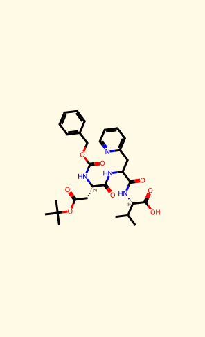 CC(C)[C@H](NC(=O)C(Cc1ccccn1)NC(=O)[C@H](CC(=O)OC(C)(C)C)NC(=O)OCc1ccccc1)C(=O)O